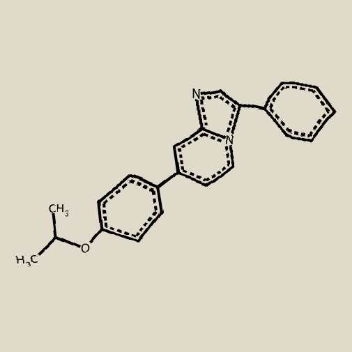 CC(C)Oc1ccc(-c2ccn3c(-c4ccccc4)cnc3c2)cc1